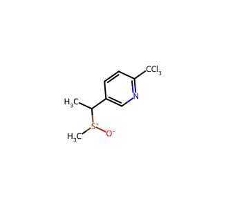 CC(c1ccc(C(Cl)(Cl)Cl)nc1)[S+](C)[O-]